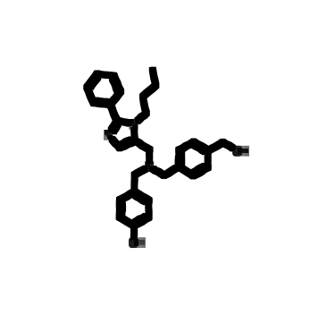 CCCCn1c(CN(Cc2ccc(O)cc2)Cc2ccc(CO)cc2)cnc1-c1ccccc1